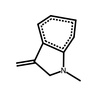 C=C1CN(C)c2ccccc21